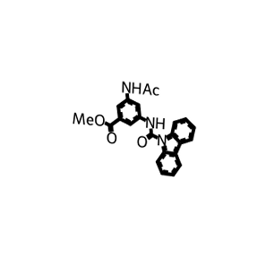 COC(=O)c1cc(NC(C)=O)cc(NC(=O)n2c3ccccc3c3ccccc32)c1